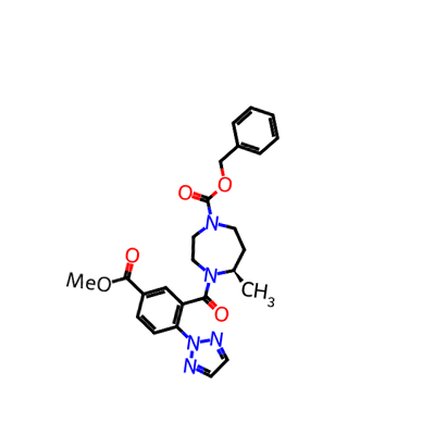 COC(=O)c1ccc(-n2nccn2)c(C(=O)N2CCN(C(=O)OCc3ccccc3)CC[C@H]2C)c1